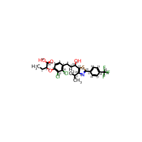 CCC(Oc1ccc(CCC(O)c2sc(-c3ccc(C(F)(F)F)cc3)nc2C(C)C)c(Cl)c1Cl)C(=O)O